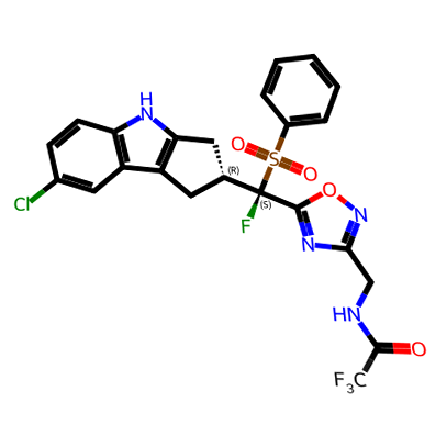 O=C(NCc1noc([C@](F)([C@H]2Cc3[nH]c4ccc(Cl)cc4c3C2)S(=O)(=O)c2ccccc2)n1)C(F)(F)F